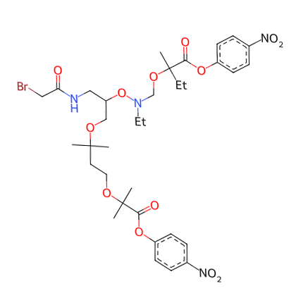 CCN(COC(C)(CC)C(=O)Oc1ccc([N+](=O)[O-])cc1)OC(CNC(=O)CBr)COC(C)(C)CCOC(C)(C)C(=O)Oc1ccc([N+](=O)[O-])cc1